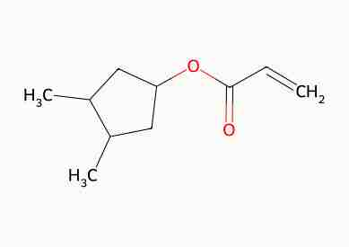 C=CC(=O)OC1CC(C)C(C)C1